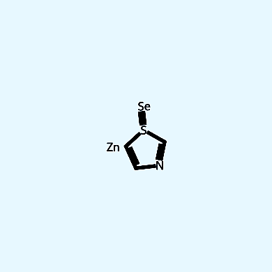 [Se]=S1C=CN=C1.[Zn]